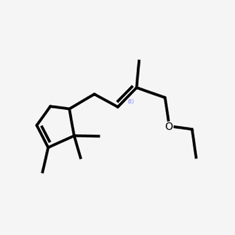 CCOC/C(C)=C/CC1CC=C(C)C1(C)C